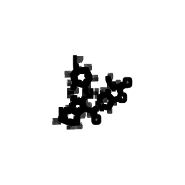 CN1C(=O)OC2CN(C(=O)c3c(Nc4ccc(I)cc4F)sc4ncccc34)CC21